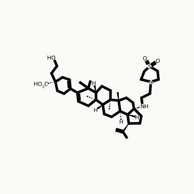 C=C(C)[C@@H]1CC[C@]2(NCCN3CCS(=O)(=O)CC3)CC[C@]3(C)[C@H](CC[C@@H]4[C@@]5(C)CC=C(C6=CC[C@@](CCO)(C(=O)O)CC6)C(C)(C)[C@@H]5CC[C@]43C)[C@@H]12